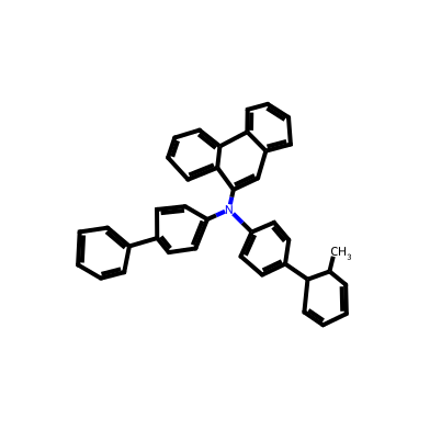 CC1C=CC=CC1c1ccc(N(c2ccc(-c3ccccc3)cc2)c2cc3ccccc3c3ccccc23)cc1